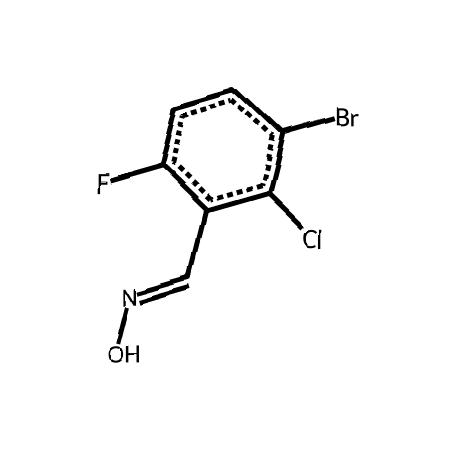 O/N=C/c1c(F)ccc(Br)c1Cl